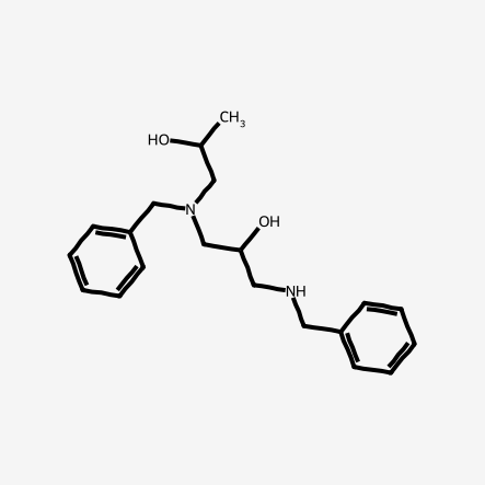 CC(O)CN(Cc1ccccc1)CC(O)CNCc1ccccc1